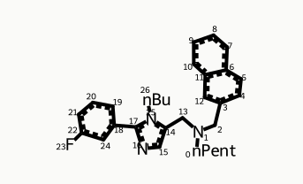 CCCCCN(Cc1ccc2ccccc2c1)Cc1cnc(-c2cccc(F)c2)n1CCCC